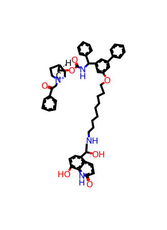 O=C(NC(c1ccccc1)c1cc(OCCCCCCCCCNCC(O)c2ccc(O)c3[nH]c(=O)ccc23)cc(-c2ccccc2)c1)O[C@H]1C[N+]2(CC(=O)c3ccccc3)CCC1CC2